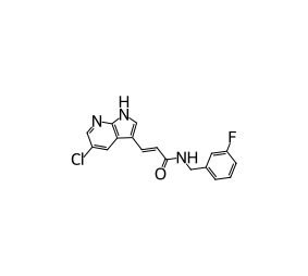 O=C(/C=C/c1c[nH]c2ncc(Cl)cc12)NCc1cccc(F)c1